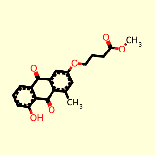 COC(=O)CCCOc1cc(C)c2c(c1)C(=O)c1cccc(O)c1C2=O